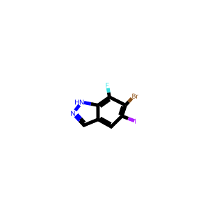 Fc1c(Br)c(I)cc2cn[nH]c12